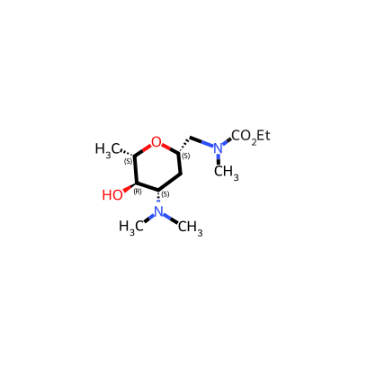 CCOC(=O)N(C)C[C@@H]1C[C@H](N(C)C)[C@@H](O)[C@H](C)O1